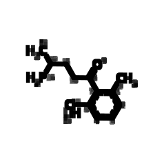 Cc1cccc(Cl)c1C(=O)CCC(C)P.[LiH]